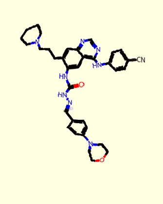 N#Cc1ccc(Nc2ncnc3cc(CCCN4CCCCC4)c(NC(=O)N/N=C/c4ccc(N5CCOCC5)cc4)cc23)cc1